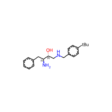 CC(C)(C)c1ccc(CNC[C@@H](O)[C@@H](N)Cc2ccccc2)cc1